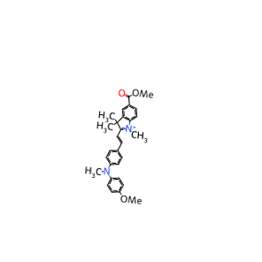 COC(=O)c1ccc2c(c1)C(C)(C)C(/C=C/c1ccc(N(C)c3ccc(OC)cc3)cc1)=[N+]2C